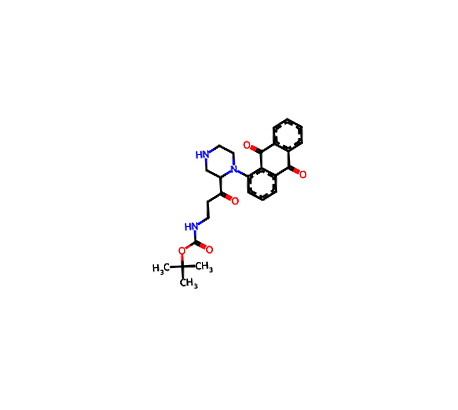 CC(C)(C)OC(=O)NCCC(=O)C1CNCCN1c1cccc2c1C(=O)c1ccccc1C2=O